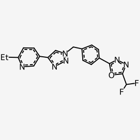 CCc1ccc(-c2cn(Cc3ccc(-c4nnc(C(F)F)o4)cc3)nn2)cn1